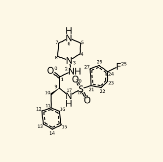 O=C(NN1CCNCC1)[C@H](Cc1ccccc1)NS(=O)(=O)c1ccc(F)cc1